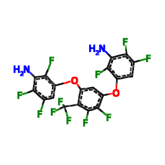 Nc1c(F)c(F)cc(Oc2cc(Oc3cc(F)c(F)c(N)c3F)c(C(F)(F)F)c(F)c2F)c1F